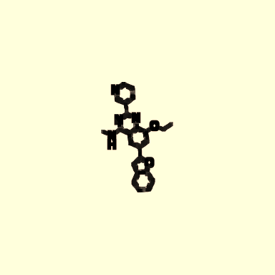 CCOc1cc(-c2cc3ccccc3o2)cc2c(NC)nc(-c3cccnc3)nc12